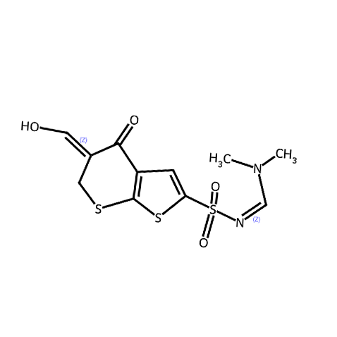 CN(C)/C=N\S(=O)(=O)c1cc2c(s1)SC/C(=C\O)C2=O